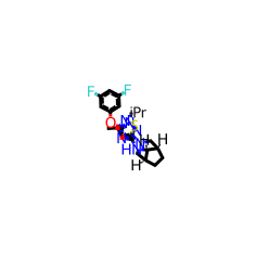 Cc1cc(N2C[C@H]3CC[C@@H](C2)[C@H]3Nc2nc(Oc3cc(F)cc(F)c3)n(C(C)C)n2)sn1